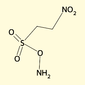 NOS(=O)(=O)CC[N+](=O)[O-]